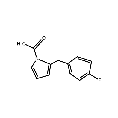 CC(=O)n1cccc1Cc1ccc(F)cc1